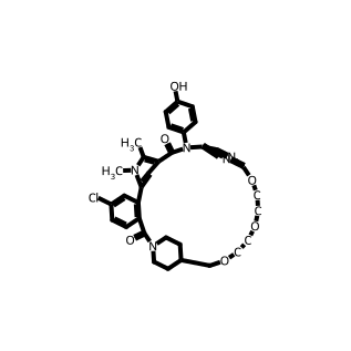 Cc1c2cc(n1C)-c1cc(Cl)ccc1C(=O)N1CCC(CC1)COCCOCCOc1ncc(cn1)N(c1ccc(O)cc1)C2=O